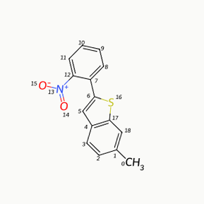 Cc1ccc2cc(-c3ccccc3[N+](=O)[O-])sc2c1